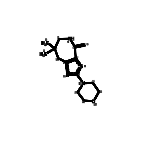 CC1(C)CNC(=S)c2sc(N3CCOCC3)nc2C1